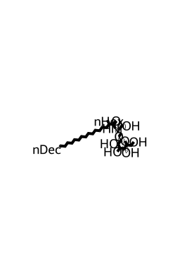 CCCCCCCCCCCCCCCCCCCCCCCCC(C)C(=O)N[C@@H](CO[C@H]1OC(CO)[C@H](O)C(O)C1O)[C@H](O)CCCCCC